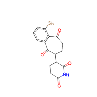 O=C1CCC(C2CCC(=O)c3c(S)cccc3C2=O)C(=O)N1